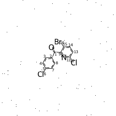 O=C(c1ccc(Cl)cc1)c1nc(Cl)ccc1Br